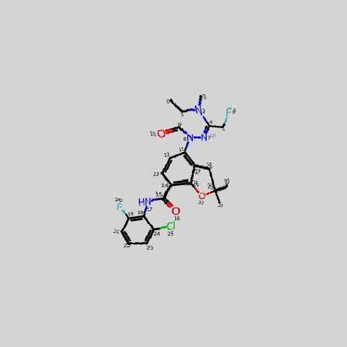 CCN(C)/C(CF)=N\N(C=O)c1ccc(C(=O)Nc2c(F)cccc2Cl)c2c1CC(C)(C)O2